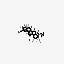 C[C@@H]1C(=O)C(C#N)=C[C@]2(C)C3=CC(=O)C4C5CC(C)(C)CC[C@]5(C(=O)NCC(F)(F)F)CC[C@@]4(C)[C@]3(C)CC[C@@H]12